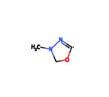 CN1CO[C]=N1